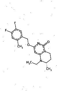 CCN1c2cc(OCc3cc(F)c(F)cc3C)nc(=O)n2CC[C@@H]1C